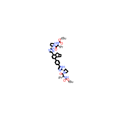 CC(C)[C@H](NC(=O)OC(C)(C)C)C(=O)N1CCC[C@H]1c1ncc(-c2ccc(-c3ccc(-c4cnc([C@@H]5CCCN5C(=O)[C@@H](NC(=O)OC(C)(C)C)C(C)C)[nH]4)c4c3C3CCC3C4)cc2)[nH]1